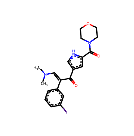 CN(C)C=C(C(=O)c1c[nH]c(C(=O)N2CCOCC2)c1)c1cccc(I)c1